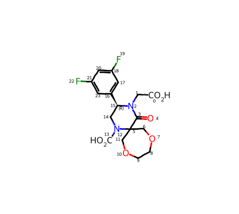 O=C(O)CN1C(=O)C2(COCCOC2)N(C(=O)O)C[C@H]1c1cc(F)cc(F)c1